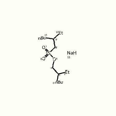 CCCCC(CC)COS(=O)(=O)CC(CC)CCCC.[NaH]